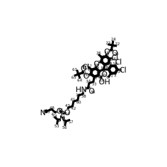 Cc1cc(Cl)c(Cl)cc1C1(OCO)c2cc(Cl)c(OC(=O)C(C)(C)C)c(C)c2Oc2c1cc(CCC(=O)NCCCCCCOP(OCCC#N)N(C(C)C)C(C)C)c(OC(=O)C(C)(C)C)c2Cl